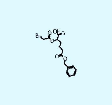 O=C(CCCC(OC(=O)CBr)C(=O)O)OCc1ccccc1